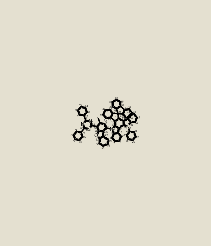 Cc1cc(-n2c3ccccc3c3c2c2c(c4c5ccccc5n(-c5ccccc5)c43)C3(c4ccccc4-c4ccccc43)c3ccccc3-2)c2c(oc3ccccc32)c1-c1nc(-c2ccccc2)nc(-c2ccccc2)n1